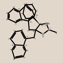 CB1N[C@H](C2CCCCC2)C(Cc2cccc3ccccc23)(Cc2cccc3ccccc23)O1